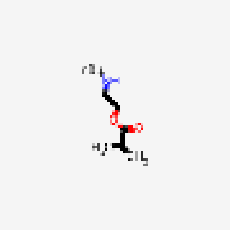 C=C(C)C(=O)OCCNCCCC